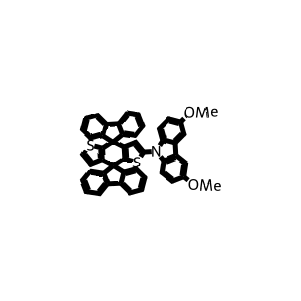 COc1ccc2c(c1)c1cc(OC)ccc1n2-c1cc2c(s1)C1(c3ccccc3-c3ccccc31)c1ccsc1C21c2ccccc2-c2ccccc21